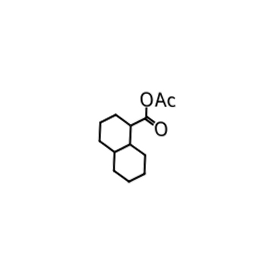 CC(=O)OC(=O)C1CCCC2CCCCC21